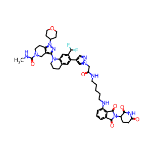 CNC(=O)N1CCc2c(c(N3CCCc4cc(-c5cnn(CC(=O)NCCCCCNc6cccc7c6C(=O)N(C6CCC(=O)NC6=O)C7=O)c5)c(C(F)F)cc43)nn2C2CCOCC2)C1